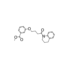 COC(=O)c1cccc(OCCCC(=O)N2CCCc3ccccc32)c1